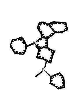 CN(c1ccccc1)c1ccc2c3c4ccccc4ccc3n(-c3ccccc3)c2c1